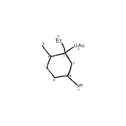 CCC1(OC(C)=O)CC(C(C)C)CCC1C